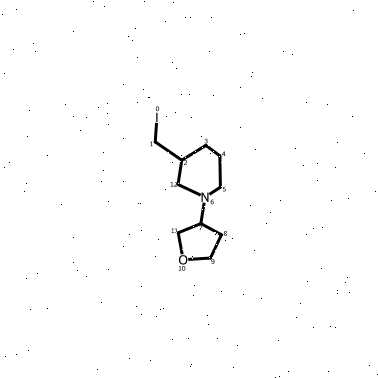 ICC1CCCN(C2CCOC2)C1